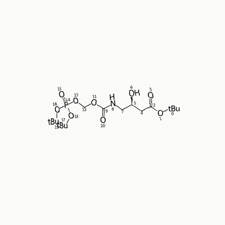 CC(C)(C)OC(=O)C[C@H](O)CNC(=O)OCOP(=O)(OC(C)(C)C)OC(C)(C)C